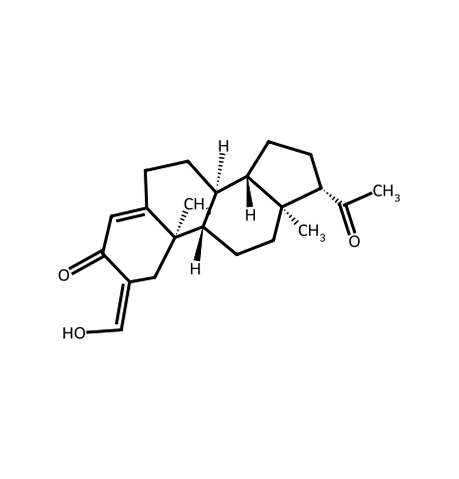 CC(=O)[C@H]1CC[C@H]2[C@@H]3CCC4=CC(=O)C(=CO)C[C@]4(C)[C@H]3CC[C@]12C